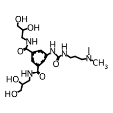 CN(I)CCCNC(=O)Nc1cc(C(=O)NCC(O)CO)cc(C(=O)NCC(O)CO)c1